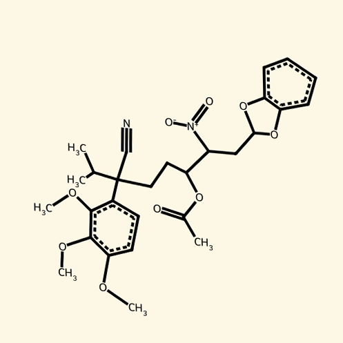 COc1ccc(C(C#N)(CCC(OC(C)=O)C(CC2Oc3ccccc3O2)[N+](=O)[O-])C(C)C)c(OC)c1OC